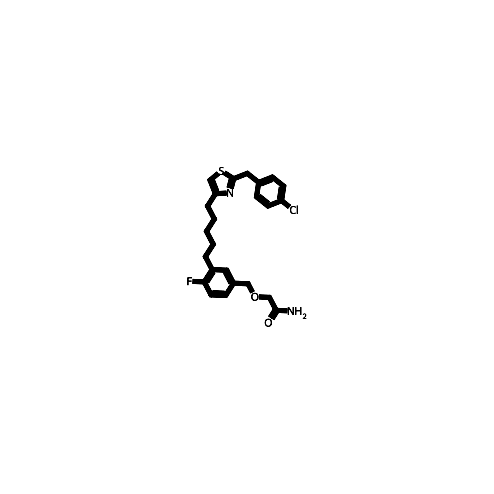 NC(=O)COCc1ccc(F)c(CCCCCc2csc(Cc3ccc(Cl)cc3)n2)c1